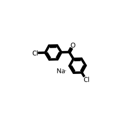 O=C(c1ccc(Cl)cc1)c1ccc(Cl)cc1.[Na]